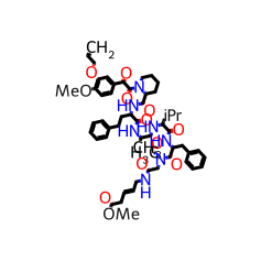 C=CCOc1cc(C(=O)C(=O)N2CCCCC2C(=O)NC(CCc2ccccc2)C(=O)NC(C)C(=O)NC(C(=O)NC(Cc2ccccc2)C(=O)N(C)CC(=O)NC/C=C/CC(=O)OC)C(C)C)ccc1OC